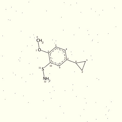 COc1ccc(C2CC2)cc1SN